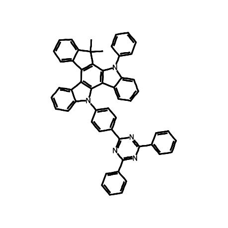 CC1(C)c2ccccc2-c2c1c1c(c3ccccc3n1-c1ccccc1)c1c2c2ccccc2n1-c1ccc(-c2nc(-c3ccccc3)nc(-c3ccccc3)n2)cc1